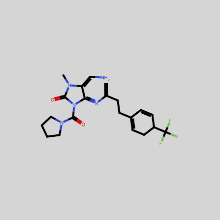 C=C(CCC1=CCC(C(F)(F)F)C=C1)/N=C1\C(=C/N)N(C)C(=O)N1C(=O)N1CCCC1